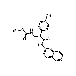 CC(C)(C)OC(=O)NC[C@H](C(=O)Nc1ccc2cnccc2c1)c1ccc(O)cc1